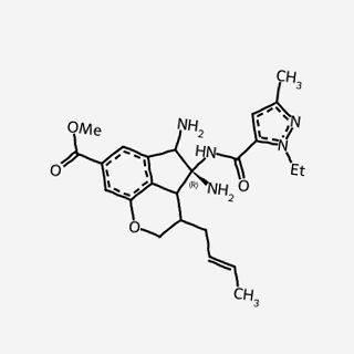 CC=CCC1COc2cc(C(=O)OC)cc3c2C1[C@@](N)(NC(=O)c1cc(C)nn1CC)C3N